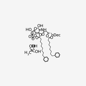 CCCCCCCCCCC[C@@H](CC(=O)N[C@H]1C(O)O[C@H](CO)[C@@H](OS(=O)(=O)[O-])[C@@H]1OC(=O)CCCCCCCCc1ccccc1)OC(=O)CCCCCCCCc1ccccc1.C[N+](CO)(CO)CO